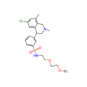 CCOCCOCCNS(=O)(=O)c1cccc(C2CN(C)Cc3c(C)cc(Cl)cc32)c1